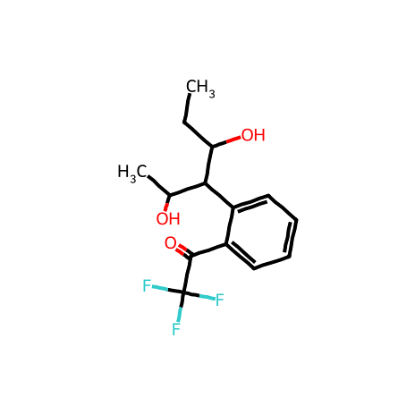 CCC(O)C(c1ccccc1C(=O)C(F)(F)F)C(C)O